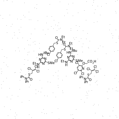 CC(C)N(C(=O)SCC(Cl)=C(Cl)Cl)C(C)C.CC(C)N(C(=O)SCC(Cl)=C(Cl)Cl)C(C)C.CCN(CC)C(=O)SCc1ccc(Cl)cc1.CCN(CC)C(=O)SCc1ccc(Cl)cc1.CCNc1nc(NC(C)(C)C)nc(SC)n1.CCNc1nc(NC(C)(C)C)nc(SC)n1.O=C(O)COc1nc(Cl)c(Cl)cc1Cl